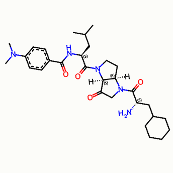 CC(C)C[C@H](NC(=O)c1ccc(N(C)C)cc1)C(=O)N1CC[C@@H]2[C@H]1C(=O)CN2C(=O)[C@@H](N)CC1CCCCC1